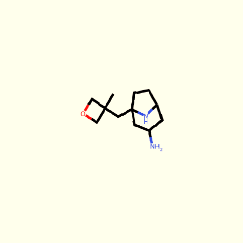 CC1(CC23CCC(CC(N)C2)N3)COC1